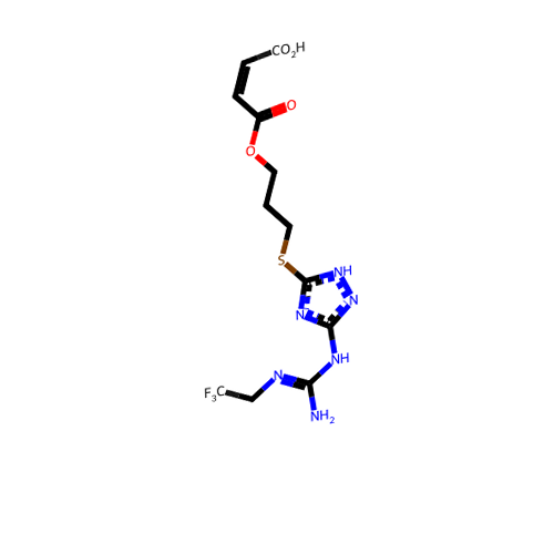 NC(=NCC(F)(F)F)Nc1n[nH]c(SCCCOC(=O)/C=C\C(=O)O)n1